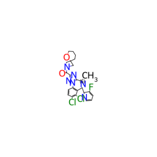 C[C@@H]1N=C(c2ncccc2F)c2c(ccc(Cl)c2Cl)-n2nc(C(=O)N3CC4(CCCCO4)C3)nc21